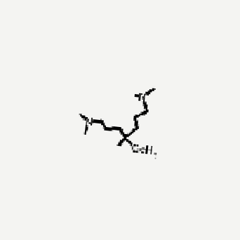 CN(C)CCC[C](C)([GeH3])CCCN(C)C